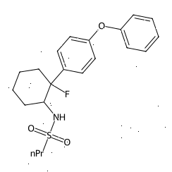 CCCS(=O)(=O)NC1CCCCC1(F)c1ccc(Oc2ccccc2)cc1